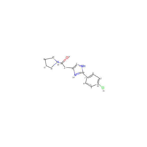 O=C(Cc1c[nH]c(-c2ccc(Cl)cc2)n1)N1CCCC1